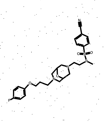 CN(CCN1CC2CN(CCCOc3ccc(F)cc3)CC(C1)O2)S(=O)(=O)c1ccc(C#N)cc1